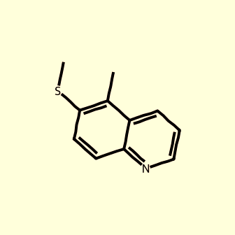 CSc1ccc2ncccc2c1C